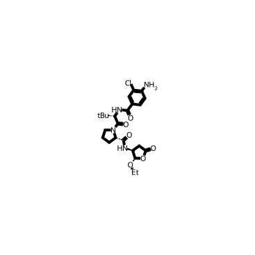 CCO[C@H]1OC(=O)C[C@@H]1NC(=O)[C@@H]1CCCN1C(=O)[C@@H](NC(=O)c1ccc(N)c(Cl)c1)C(C)(C)C